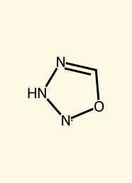 C1=NN[N]O1